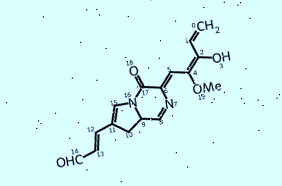 C=C/C(O)=C(\C=C1/N=CC2CC(/C=C/C=O)=CN2C1=O)OC